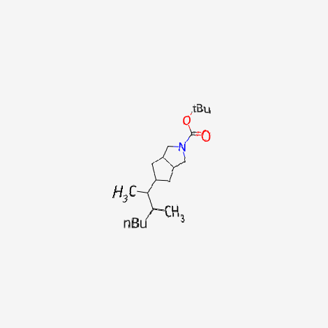 CCCCC(C)C(C)C1CC2CN(C(=O)OC(C)(C)C)CC2C1